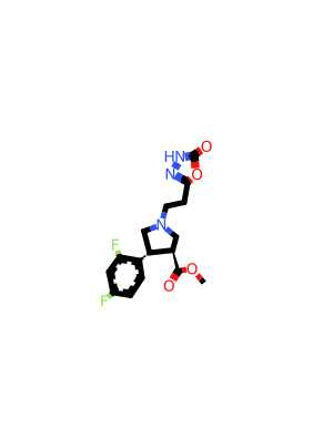 COC(=O)[C@@H]1CN(CCc2n[nH]c(=O)o2)C[C@H]1c1ccc(F)cc1F